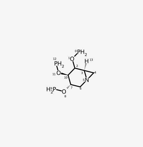 POC1[C@H]2CN2C[C@H](OP)[C@H]1OP